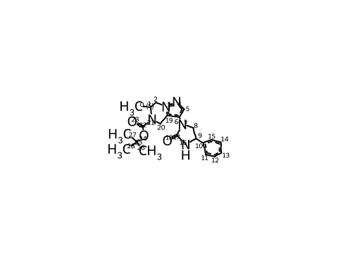 C[C@H]1Cn2ncc(N3CC(c4ccccc4)NC3=O)c2CN1C(=O)OC(C)(C)C